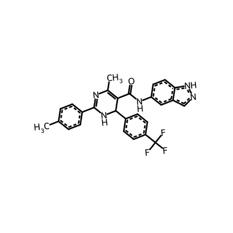 CC1=C(C(=O)Nc2ccc3[nH]ncc3c2)C(c2ccc(C(F)(F)F)cc2)NC(c2ccc(C)cc2)=N1